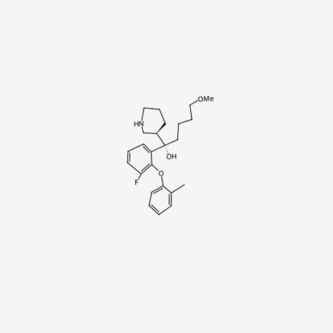 COCCCC[C@@](O)(c1cccc(F)c1Oc1ccccc1C)[C@@H]1CCCNC1